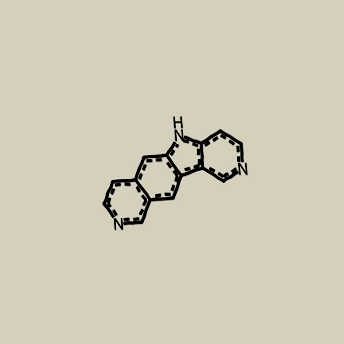 c1cc2cc3[nH]c4ccncc4c3cc2cn1